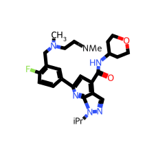 CNCCN(C)Cc1cc(-c2cc(C(=O)NC3CCOCC3)c3cnn(C(C)C)c3n2)ccc1F